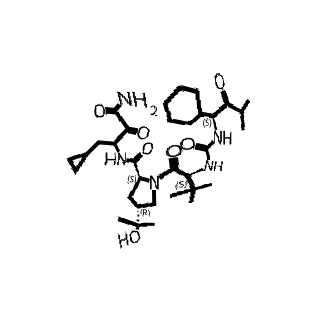 CC(C)C(=O)[C@@H](NC(=O)N[C@H](C(=O)N1C[C@H](C(C)(C)O)C[C@H]1C(=O)NC(CC1CC1)C(=O)C(N)=O)C(C)(C)C)C1CCCCC1